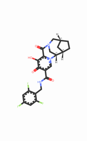 O=C(NCc1c(F)cc(F)cc1F)c1cn2c(c(O)c1=O)C(=O)N1C[C@@H]3CC[C@@H](C3)[C@H]2C1